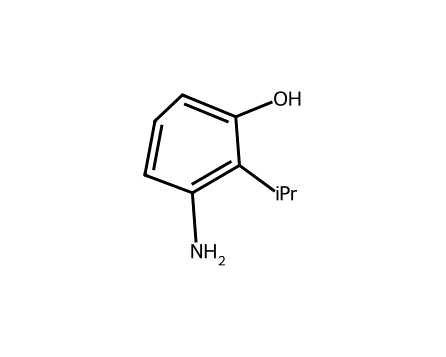 CC(C)c1c(N)cccc1O